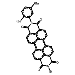 CCN1C(=O)c2ccc3c4ccc5c6c(ccc(c7ccc(c2c37)C1=O)c64)C(=O)N(c1cc(C(C)(C)C)ccc1C(C)(C)C)C5=O